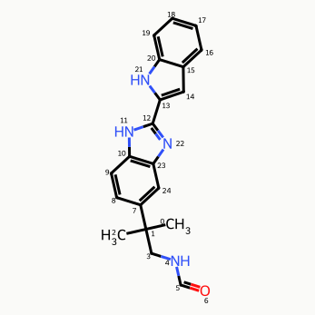 CC(C)(CNC=O)c1ccc2[nH]c(-c3cc4ccccc4[nH]3)nc2c1